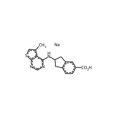 Cc1csc2ncnc(NC3Cc4ccc(C(=O)O)cc4C3)c12.[Na]